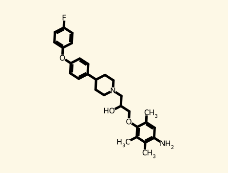 Cc1cc(N)c(C)c(C)c1OCC(O)CN1CCC(c2ccc(Oc3ccc(F)cc3)cc2)CC1